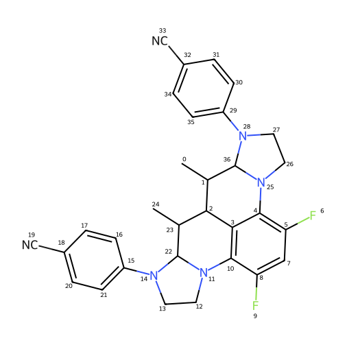 CC1C2c3c(c(F)cc(F)c3N3CCN(c4ccc(C#N)cc4)C3C2C)N2CCN(c3ccc(C#N)cc3)C12